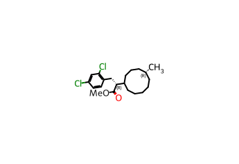 COC(=O)[C@H](Cc1ccc(Cl)cc1Cl)C1CCCCC[C@@H](C)CCC1